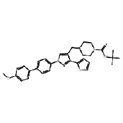 COc1ccc(-c2ccc(-n3cc(CN4CCN(C(=O)OC(C)(C)C)CC4)c(-c4ccco4)n3)cc2)cc1